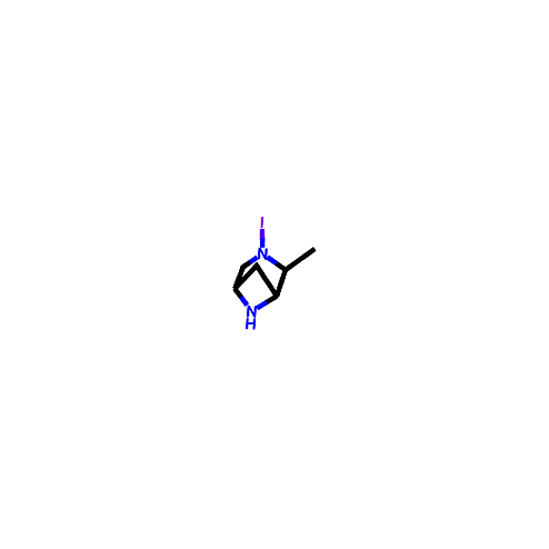 CC1C2CC(CN1I)N2